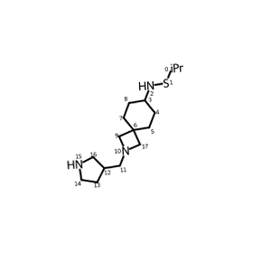 CC(C)SNC1CCC2(CC1)CN(CC1CCNC1)C2